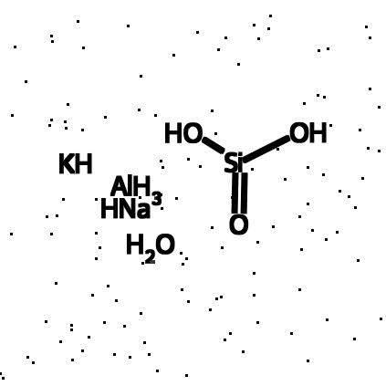 O.O=[Si](O)O.[AlH3].[KH].[NaH]